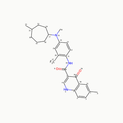 Cc1ccc2[nH]cc(C(=O)Nc3ccc(N(C)C4CCCC(C)CC4)cc3C(F)(F)F)c(=O)c2c1